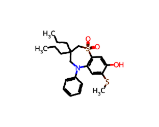 CCCC1(CCC)CN(c2ccccc2)c2cc(SC)c(O)cc2S(=O)(=O)C1